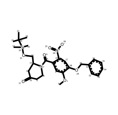 COc1cc(C(=O)N2CCC(=O)CC2CO[Si](C)(C)C(C)(C)C)c([N+](=O)[O-])cc1OCc1ccccc1